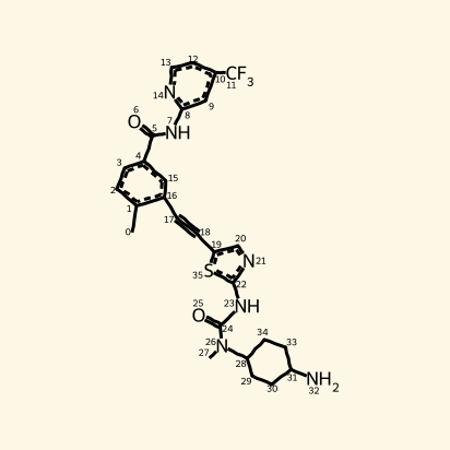 Cc1ccc(C(=O)Nc2cc(C(F)(F)F)ccn2)cc1C#Cc1cnc(NC(=O)N(C)C2CCC(N)CC2)s1